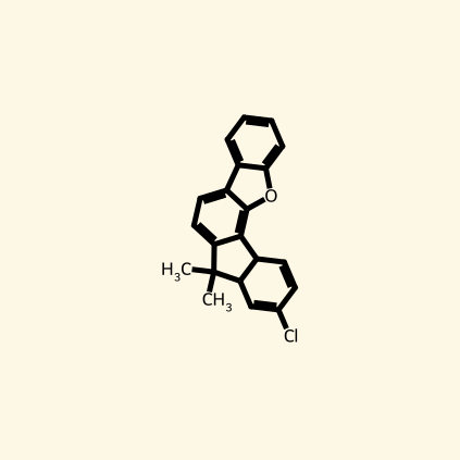 CC1(C)c2ccc3c(oc4ccccc43)c2C2C=CC(Cl)=CC21